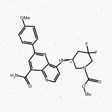 COc1ccc(-c2cc(C(N)=O)c3nccc(N[C@@H]4CN(C(=O)OC(C)(C)C)CC(F)(F)C4)c3n2)cc1